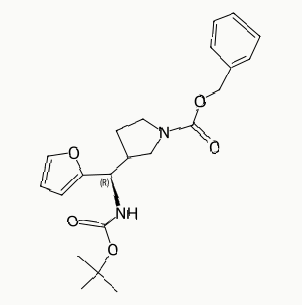 CC(C)(C)OC(=O)N[C@@H](c1ccco1)C1CCN(C(=O)OCc2ccccc2)C1